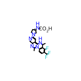 Cc1nc(NC(C)c2cccc(C(F)F)c2F)c2cc(N3CC[C@@H](NC(=O)O)C3)ncc2n1